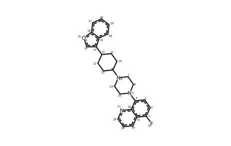 Fc1ccc(N2CCN(C3CCC(c4coc5ccccc45)CC3)CC2)c2ncccc12